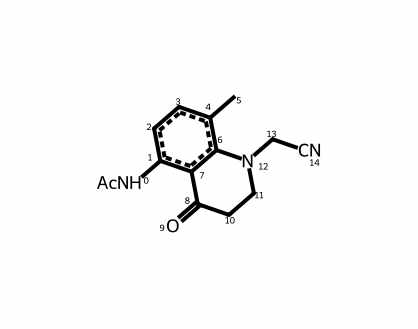 CC(=O)Nc1ccc(C)c2c1C(=O)CCN2CC#N